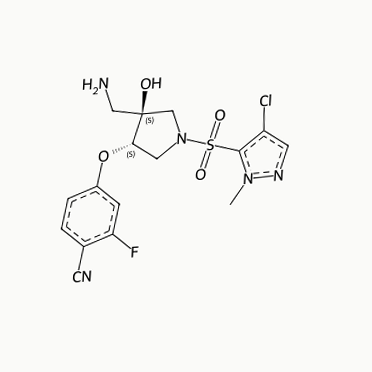 Cn1ncc(Cl)c1S(=O)(=O)N1C[C@H](Oc2ccc(C#N)c(F)c2)[C@](O)(CN)C1